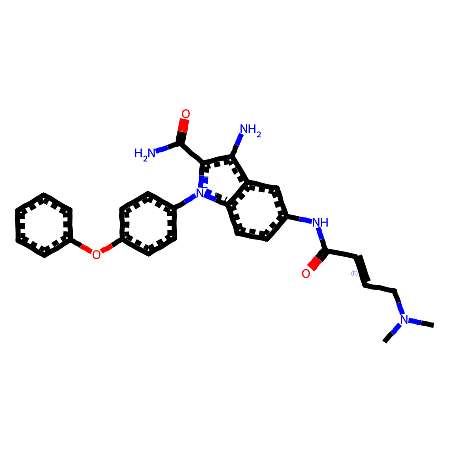 CN(C)C/C=C/C(=O)Nc1ccc2c(c1)c(N)c(C(N)=O)n2-c1ccc(Oc2ccccc2)cc1